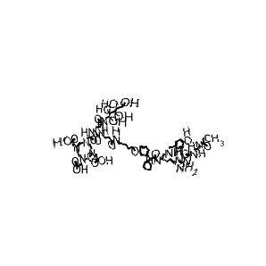 CCC(=O)NCCNC(=O)/N=C(/N)NCCC[C@H](CNCc1ccc(O)cc1)NC(=O)C(c1ccccc1)c1cccc(OCCCCNC(=O)CCNC(=O)[C@H](CCC(=O)NC[C@H](O)[C@@H](O)[C@H](O)[C@H](O)CO)NC(=O)CN2CCN(CC(=O)O)CCN(CC(=O)O)CCN(CC(=O)O)CC2)c1